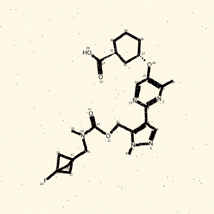 Cc1nc(-c2cnn(C)c2COC(=O)N(C)CC23CC(F)(C2)C3)ncc1O[C@H]1CCC[C@H](C(=O)O)C1